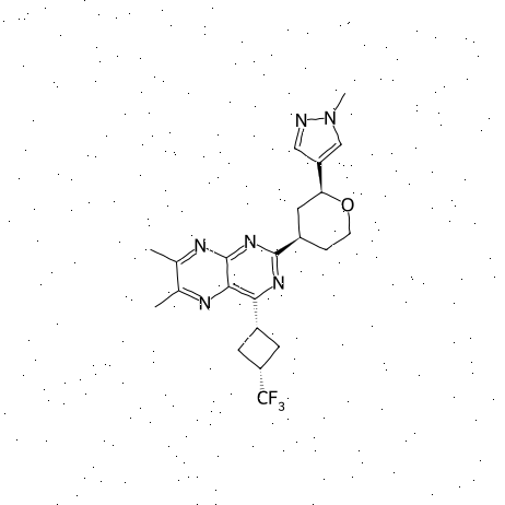 Cc1nc2nc([C@@H]3CCO[C@H](c4cnn(C)c4)C3)nc([C@H]3C[C@@H](C(F)(F)F)C3)c2nc1C